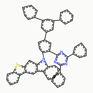 c1ccc(-c2cc(-c3ccccc3)cc(-c3ccc(-n4c5ccccc5c5cc6c(cc54)sc4ccccc46)c(-c4nc(-c5ccccc5)nc(-c5ccccc5)n4)c3)c2)cc1